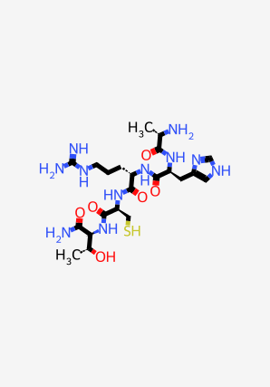 C[C@H](N)C(=O)N[C@@H](Cc1c[nH]cn1)C(=O)N[C@@H](CCCNC(=N)N)C(=O)N[C@@H](CS)C(=O)N[C@H](C(N)=O)[C@@H](C)O